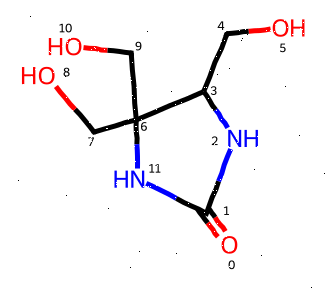 O=C1NC(CO)C(CO)(CO)N1